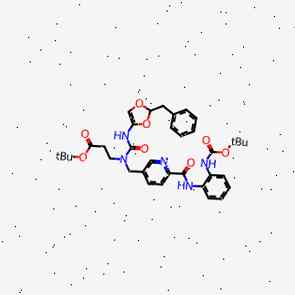 CC(C)(C)OC(=O)CCN(Cc1ccc(C(=O)Nc2ccccc2NC(=O)OC(C)(C)C)nc1)C(=O)NC1=COC(Cc2ccccc2)O1